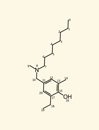 CCCCCCCCN(C)Cc1cc(C)c(O)c(CC)c1